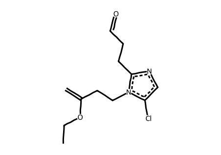 C=C(CCn1c(Cl)cnc1CCC=O)OCC